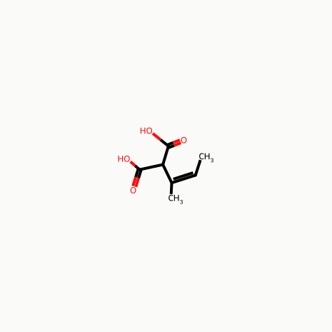 C/C=C(/C)C(C(=O)O)C(=O)O